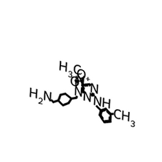 CO[N+](=O)c1cnc(NCc2cccc(C)c2)nc1NCC1CCC(CN)CC1